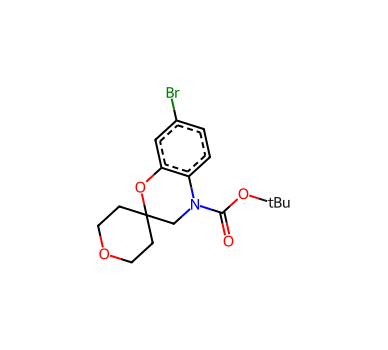 CC(C)(C)OC(=O)N1CC2(CCOCC2)Oc2cc(Br)ccc21